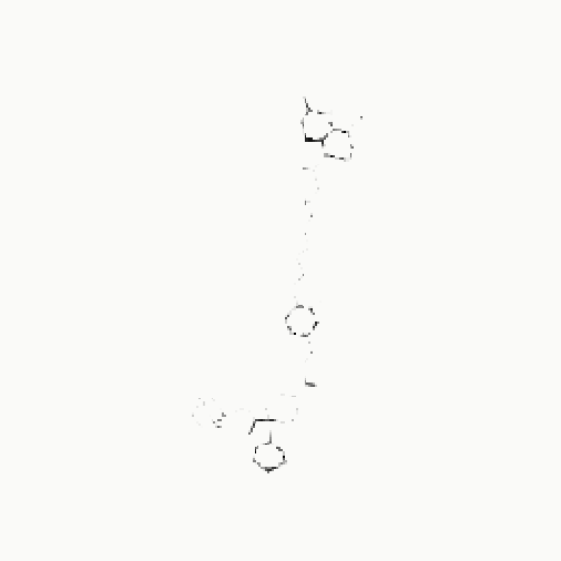 Cc1cc(CCC(=O)N2CCC(C(=O)OC3CN4CCC3CC4)(c3ccccc3)CC2)ccc1OCCCCCNCC(O)c1ccc(O)c2[nH]c(=O)ccc12